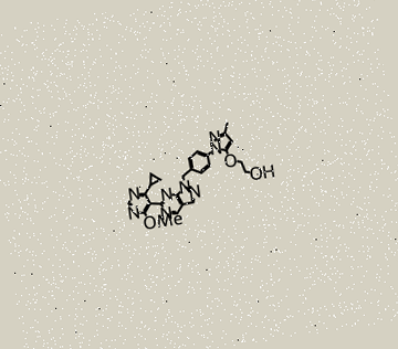 COc1ncnc(C2CC2)c1-c1ncc2cnn(Cc3ccc(-n4nc(C)cc4OCCO)cc3)c2n1